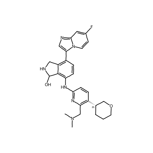 CN(C)Cc1nc(Nc2ccc(-c3cnc4cc(F)ccn34)c3c2C(O)NC3)ccc1[C@H]1CCCOC1